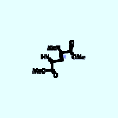 CN/C(=C\C(=N)C(=O)OC)C(=O)OC